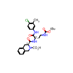 Cc1cc(NC(=O)[C@H](CCNC(=O)OC(C)(C)C)NC(=O)[C@@H]2Cc3ccccc3CN2C(=O)O)ccc1Cl